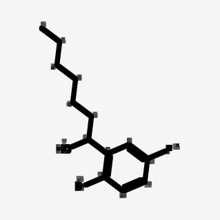 CCCCCCC(O)c1cc(F)ccc1Br